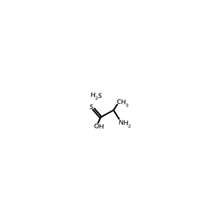 CC(N)C(O)=S.S